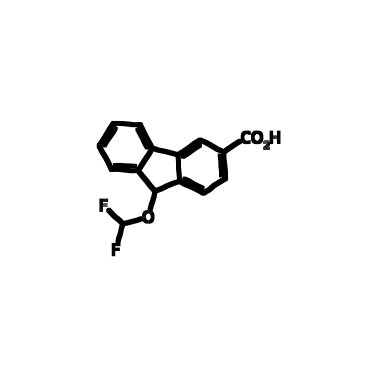 O=C(O)c1ccc2c(c1)-c1ccccc1C2OC(F)F